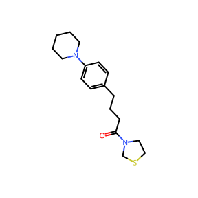 O=C(CCCc1ccc(N2CCCCC2)cc1)N1CCSC1